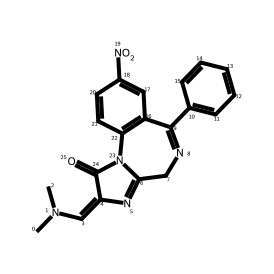 CN(C)C=C1N=C2CN=C(c3ccccc3)c3cc([N+](=O)[O-])ccc3N2C1=O